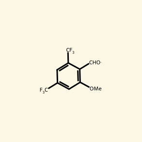 COc1cc(C(F)(F)F)cc(C(F)(F)F)c1[C]=O